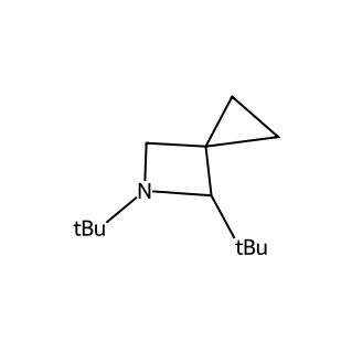 CC(C)(C)C1N(C(C)(C)C)CC12CC2